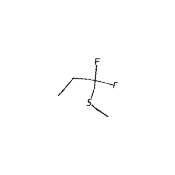 CCC(F)(F)SC